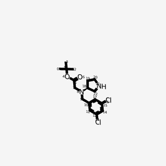 CC(C)(C)OC(=O)CN(Cc1cc(Cl)cc(Cl)c1)[C@H]1CCNC1